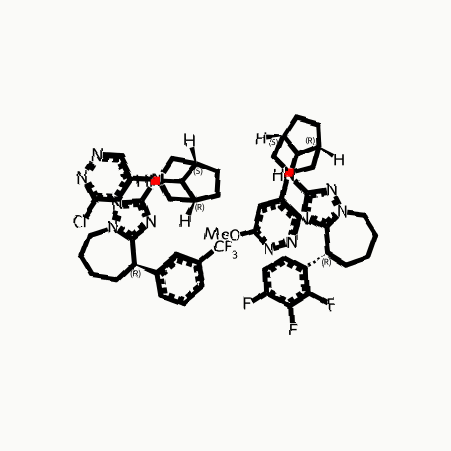 COc1cc(N2C[C@H]3CC[C@@H](C2)C3Nc2nc3n(n2)CCCC[C@@H]3c2ccc(F)c(F)c2F)cnn1.FC(F)(F)c1cccc([C@H]2CCCCn3nc(NC4[C@@H]5CC[C@H]4CN(c4cnnc(Cl)c4)C5)nc32)c1